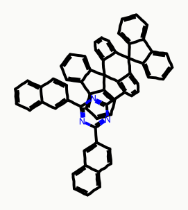 c1ccc2c(c1)-c1ccccc1C21c2ccccc2C2(c3ccccc3-c3ccccc32)c2c(-c3nc(-c4ccc5ccccc5c4)nc(-c4ccc5ccccc5c4)n3)cccc21